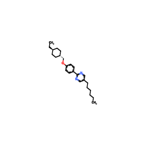 CCCCCCc1cnc(-c2ccc(OC[C@H]3CC[C@H](CC)CC3)cc2)nc1